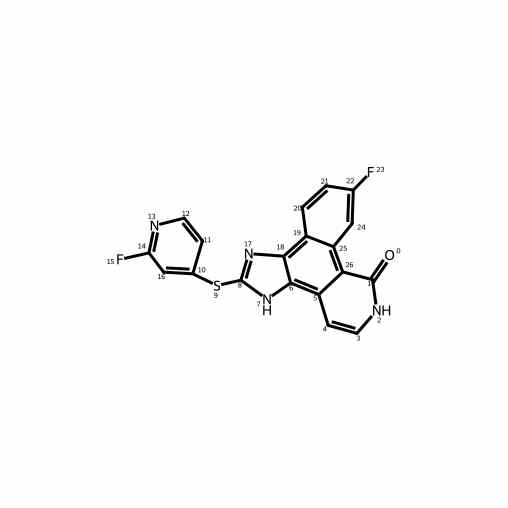 O=c1[nH]ccc2c3[nH]c(Sc4ccnc(F)c4)nc3c3ccc(F)cc3c12